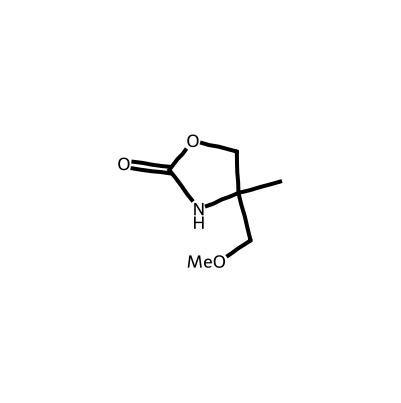 COCC1(C)COC(=O)N1